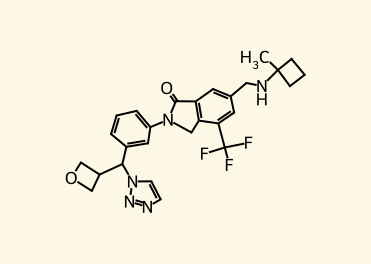 CC1(NCc2cc3c(c(C(F)(F)F)c2)CN(c2cccc(C(C4COC4)n4ccnn4)c2)C3=O)CCC1